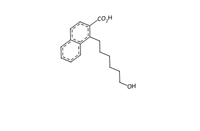 O=C(O)c1ccc2ccccc2c1CCCCCCO